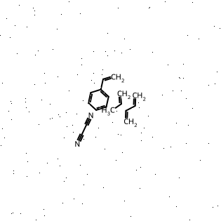 C=CC.C=CC=C.C=Cc1ccccc1.N#CC#N